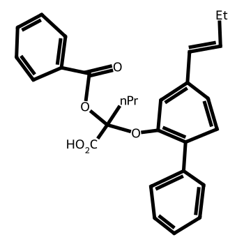 CCC=Cc1ccc(-c2ccccc2)c(OC(CCC)(OC(=O)c2ccccc2)C(=O)O)c1